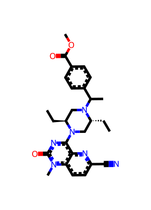 CC[C@H]1CN(C(C)c2ccc(C(=O)OC)cc2)[C@H](CC)CN1c1nc(=O)n(C)c2ccc(C#N)nc12